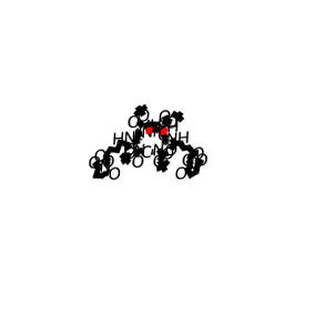 CC(C)(C)OC(=O)N1CCN(C(=O)OC(C)(C)C)CC2(NC(=O)CCCC(=O)ON3C(=O)CCC3=O)CNCCNCC(NC(=O)CCCC(=O)ON3C(=O)CCC3=O)(C1)CN(C(=O)OC(C)(C)C)CCN(C(=O)OC(C)(C)C)C2